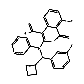 CC(=O)c1c(N(c2ccccc2)C(c2cccc(F)c2)C2CCC2)oc(=O)c2c(F)cccc12